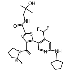 C=C(c1nc(C(=O)NCC(C)(C)O)sc1-c1cnc(NC2CCCC2)cc1C(F)F)N1CCC[C@@H]1C